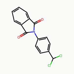 O=C1c2ccccc2C(=O)N1c1ccc(C(Cl)Cl)cc1